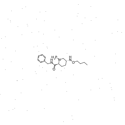 CCCCON[C@@H]1CC[C@@H](C(=O)NCc2ccccc2)N(P)C1